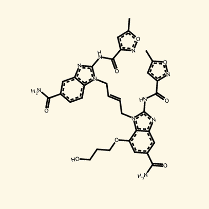 Cc1cc(C(=O)Nc2nc3cc(C(N)=O)ccc3n2C/C=C/Cn2c(NC(=O)c3cc(C)on3)nc3cc(C(N)=O)cc(OCCCO)c32)no1